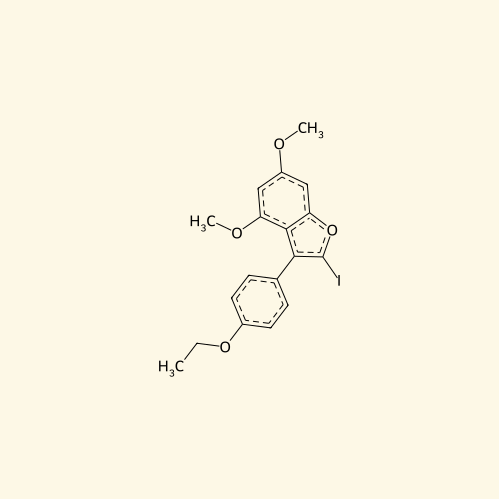 CCOc1ccc(-c2c(I)oc3cc(OC)cc(OC)c23)cc1